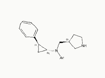 CC(=O)N(C[C@H]1CCNC1)[C@@H]1C[C@H]1c1ccccc1